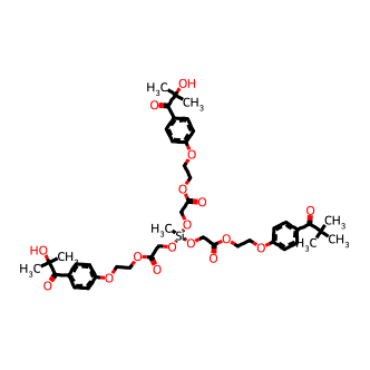 CC(C)(C)C(=O)c1ccc(OCCOC(=O)CO[Si](C)(OCC(=O)OCCOc2ccc(C(=O)C(C)(C)O)cc2)OCC(=O)OCCOc2ccc(C(=O)C(C)(C)O)cc2)cc1